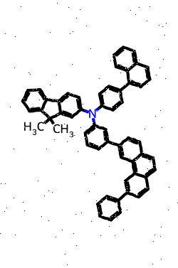 CC1(C)c2ccccc2-c2ccc(N(c3ccc(-c4cccc5ccccc45)cc3)c3cccc(-c4ccc5ccc6ccc(-c7ccccc7)cc6c5c4)c3)cc21